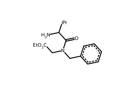 CCOC(=O)CN(Cc1ccccc1)C(=O)C(N)C(C)C